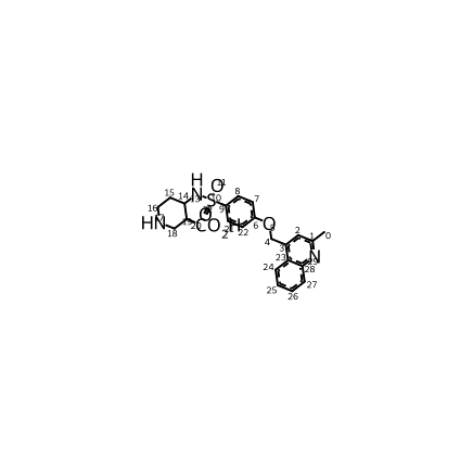 Cc1cc(COc2ccc(S(=O)(=O)NC3CCNCC3C(=O)O)cc2)c2ccccc2n1